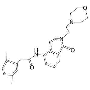 Cc1ccc(C)c(CC(=O)Nc2cccc3c(=O)n(CCN4CCOCC4)ccc23)c1